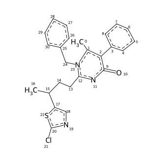 Cc1c(-c2ccccc2)c(=O)nc(CCC(C)c2cnc(Cl)s2)n1Cc1ccccc1